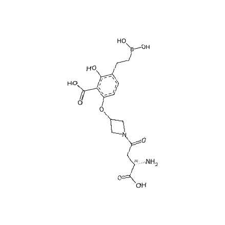 N[C@@H](CC(=O)N1CC(Oc2ccc(CCB(O)O)c(O)c2C(=O)O)C1)C(=O)O